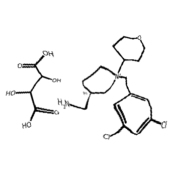 NC[C@H]1CC[N+](Cc2cc(Cl)cc(Cl)c2)(C2CCOCC2)C1.O=C(O)C(O)C(O)C(=O)O